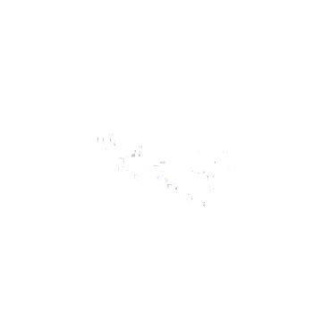 CC(C)(C)N1CCOC(/C=C/c2csc(N)n2)C1